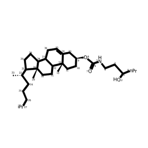 CCCC(O)CCNC(=O)O[C@H]1CC[C@@]2(C)C(=CCC3C4CCC([C@@H](C)CCCC(C)C)[C@@]4(C)CCC32)C1